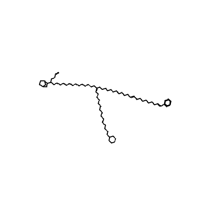 C=CCCC(CCCCCCCCCCCCCCC(=CCCCCCCCCCCCCCCC1CCCCC1)CCCCCCCCCCCCCCCCCCCCC=Cc1ccccc1)C1CC2CCC1C2